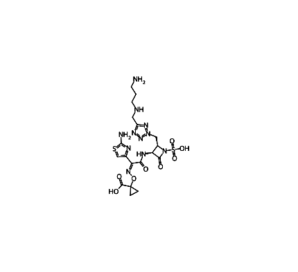 NCCCNCc1nnn(C[C@@H]2[C@H](NC(=O)/C(=N\OC3(C(=O)O)CC3)c3csc(N)n3)C(=O)N2S(=O)(=O)O)n1